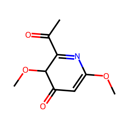 COC1=CC(=O)C(OC)C(C(C)=O)=N1